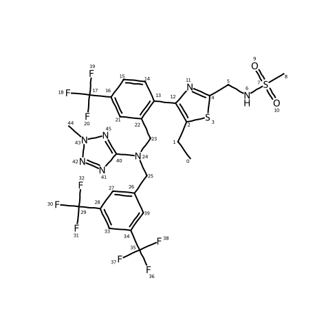 CCc1sc(CNS(C)(=O)=O)nc1-c1ccc(C(F)(F)F)cc1CN(Cc1cc(C(F)(F)F)cc(C(F)(F)F)c1)c1nnn(C)n1